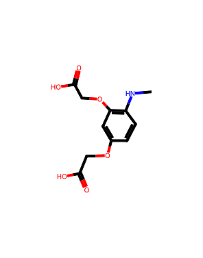 CNc1ccc(OCC(=O)O)cc1OCC(=O)O